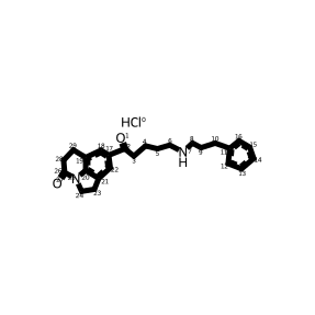 Cl.O=C(CCCCNCCCc1ccccc1)c1cc2c3c(c1)CCN3C(=O)CC2